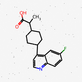 CC(C(=O)O)C1CCC(c2ccnc3ccc(F)cc23)CC1